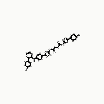 O=C(CCC(=O)Nc1nnc(-c2ccc(Nc3nccnc3-c3ccc(F)cc3)cc2)s1)Nc1nnc(-c2ccc(Br)cc2)s1